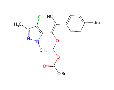 Cc1nn(C)c(/C(OCOC(=O)OCC(C)C)=C(\C#N)c2ccc(C(C)(C)C)cc2)c1Cl